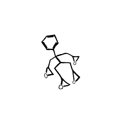 c1ccc(C(CC2CO2)(CC2CO2)C(CC2CO2)CC2CO2)cc1